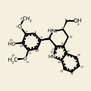 COc1cc(C2N[C@@H](CO)Cc3c2[nH]c2ccccc32)cc(OC)c1O